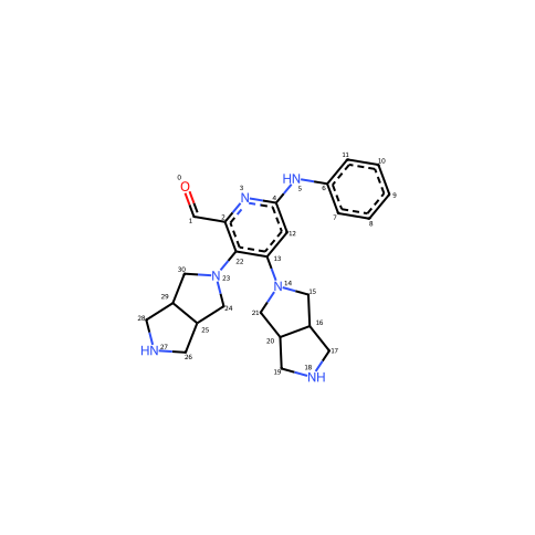 O=Cc1nc(Nc2ccccc2)cc(N2CC3CNCC3C2)c1N1CC2CNCC2C1